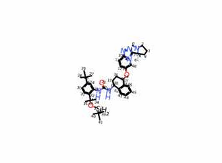 CN1CCC[C@@]1(C)c1nnc2ccc(O[C@@H]3CC[C@H](NC(=O)Nc4cc(C(C)(C)C)ccc4C(C)(C)O[SiH2]C(C)(C)C)c4ccccc43)cn12